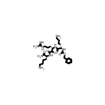 N=C(N)NCCC[C@H](NC(=O)[C@H](CCCCN)NC(=O)OCc1ccccc1)C(=O)C(=O)N[C@@H](CCCCN)C(N)=O